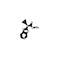 CC(C)(C)OC(=O)N(c1nc2ccncc2o1)C1CC1